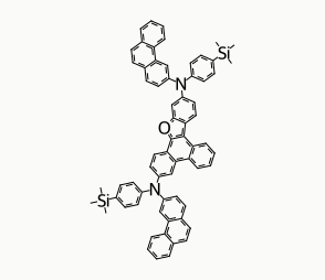 C[Si](C)(C)c1ccc(N(c2ccc3c(c2)oc2c4ccc(N(c5ccc([Si](C)(C)C)cc5)c5ccc6ccc7ccccc7c6c5)cc4c4ccccc4c32)c2ccc3ccc4ccccc4c3c2)cc1